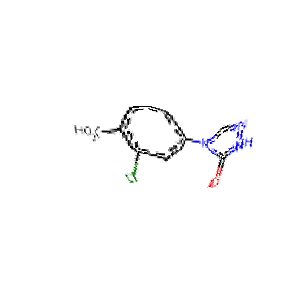 O=C(O)c1ccc(-n2cn[nH]c2=O)cc1Cl